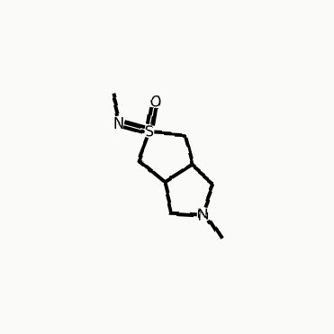 CN=S1(=O)CC2CN(C)CC2C1